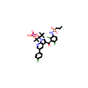 CCCS(=O)(=O)Nc1ccc(F)c(C(=O)c2cn(C(OP(=O)(O)O)(C(C)(C)C)C(C)(C)C)c3ncc(-c4ccc(Cl)cc4)cc23)c1F